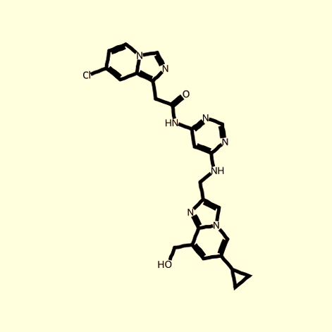 O=C(Cc1ncn2ccc(Cl)cc12)Nc1cc(NCc2cn3cc(C4CC4)cc(CO)c3n2)ncn1